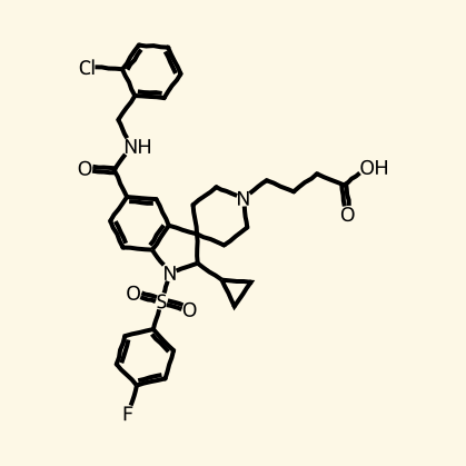 O=C(O)CCCN1CCC2(CC1)c1cc(C(=O)NCc3ccccc3Cl)ccc1N(S(=O)(=O)c1ccc(F)cc1)C2C1CC1